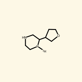 [2H]N1CCNCC1C1CCOC1